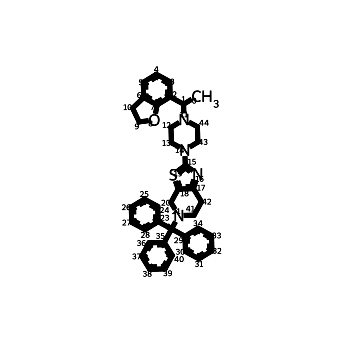 CC(c1cccc2c1OCC2)N1CCN(c2nc3c(s2)CN(C(c2ccccc2)(c2ccccc2)c2ccccc2)CC3)CC1